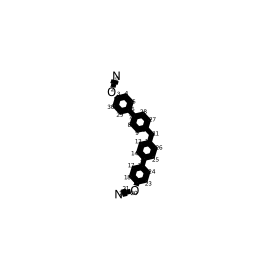 N#COc1ccc(-c2ccc(Cc3ccc(-c4ccc(OC#N)cc4)cc3)cc2)cc1